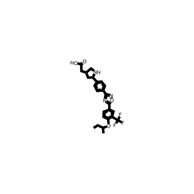 CCC(C)Oc1ccc(-c2nc(-c3ccc(C4CC(CC(=O)O)CN4)cc3)no2)cc1C(F)(F)F